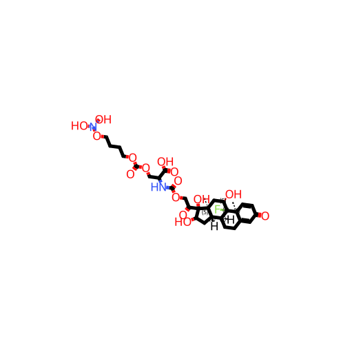 C[C@]12C[C@H](O)[C@@]3(F)[C@@H](CCC4=CC(=O)C=C[C@@]43C)[C@@H]1CC(O)C2(O)C(=O)COC(=O)NC(COC(=O)OCCCCON(O)O)C(=O)O